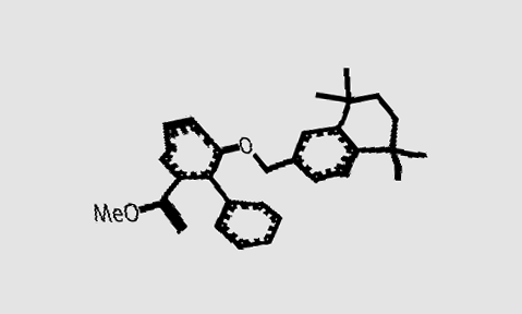 C=C(OC)c1cccc(OCc2ccc3c(c2)C(C)(C)CCC3(C)C)c1-c1ccccc1